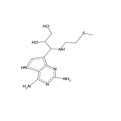 CSCCNC(c1c[nH]c2c(N)nc(N)nc12)C(O)CO